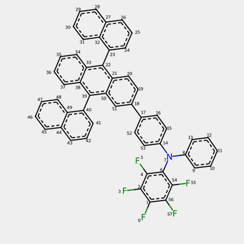 Fc1c(F)c(F)c(N(c2ccccc2)c2ccc(-c3ccc4c(-c5cccc6ccccc56)c5ccccc5c(-c5cccc6ccccc56)c4c3)cc2)c(F)c1F